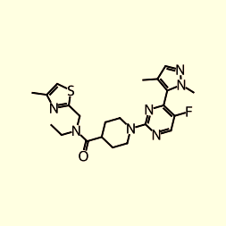 CCN(Cc1nc(C)cs1)C(=O)C1CCN(c2ncc(F)c(-c3c(C)cnn3C)n2)CC1